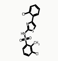 Cc1c(Cl)cccc1S(=O)(=O)Nc1nc(-c2ccccc2Cl)cs1